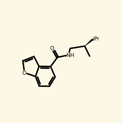 CC(C)[C@@H](C)CNC(=O)c1cccc2occc12